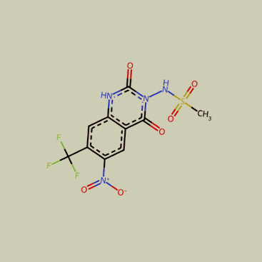 CS(=O)(=O)Nn1c(=O)[nH]c2cc(C(F)(F)F)c([N+](=O)[O-])cc2c1=O